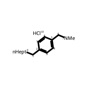 CCCCCCCCc1ccc(CNC)cc1.Cl